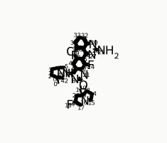 C[C@]12CCC(CN(c3nc(OC[C@@]45CCCN4C[C@H](F)C5)nc4c(F)c(-c5nc(N)nc6cccc(Cl)c56)c(F)cc34)C1)N2